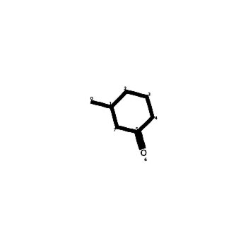 CC1CC[CH]C(=O)C1